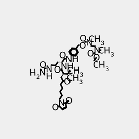 CCOC(=O)N(C)CCN(C)C(=O)OCc1ccc(NC(=O)[C@@H](CCCNC(N)=O)NC(=O)[C@H](CC(=O)CCCCCN2C(=O)C=CC2=O)C(C)C)cc1